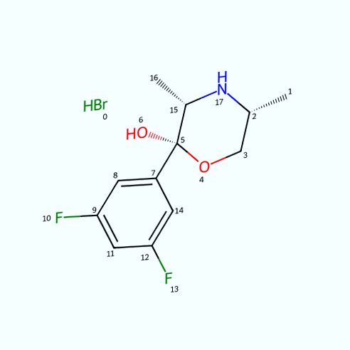 Br.C[C@@H]1CO[C@@](O)(c2cc(F)cc(F)c2)[C@H](C)N1